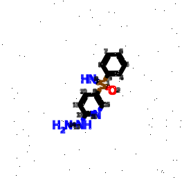 N=S(=O)(c1ccccc1)c1ccc(NN)nc1